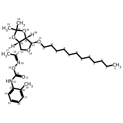 CCCCCCCCCCCCO[C@H]1O[C@H](/C(C)=N/OC(=O)Nc2ccccc2C)[C@@H]2OC(C)(C)O[C@H]12